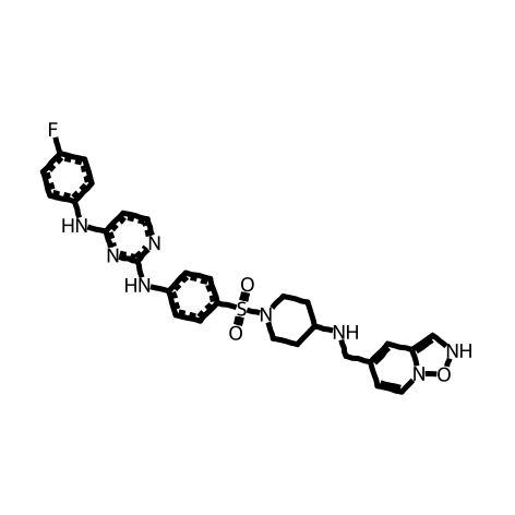 O=S(=O)(c1ccc(Nc2nccc(Nc3ccc(F)cc3)n2)cc1)N1CCC(NCC2=CC3=CNON3C=C2)CC1